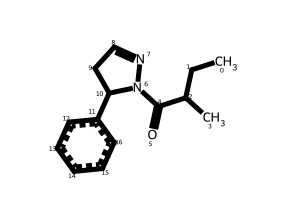 CCC(C)C(=O)N1N=CCC1c1ccccc1